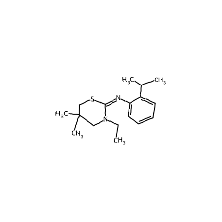 CCN1CC(C)(C)CSC1=Nc1ccccc1C(C)C